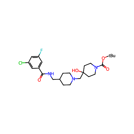 CC(C)(C)OC(=O)N1CCC(O)(CN2CCC(CNC(=O)c3cc(F)cc(Cl)c3)CC2)CC1